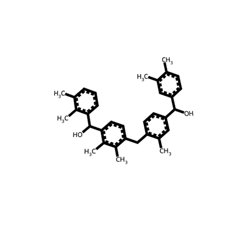 Cc1ccc(C(O)c2ccc(Cc3ccc(C(O)c4cccc(C)c4C)c(C)c3C)c(C)c2)cc1C